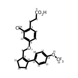 O=C(O)CCc1ccc(OCC2=C(c3ccc(OC(F)(F)F)cc3)CCC2)cc1Cl